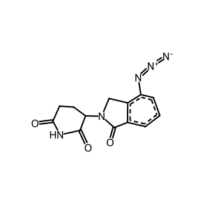 [N-]=[N+]=Nc1cccc2c1CN(C1CCC(=O)NC1=O)C2=O